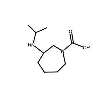 CC(C)NC1CCCCN(C(=O)O)C1